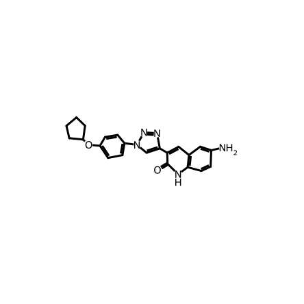 Nc1ccc2[nH]c(=O)c(-c3cn(-c4ccc(OC5CCCC5)cc4)nn3)cc2c1